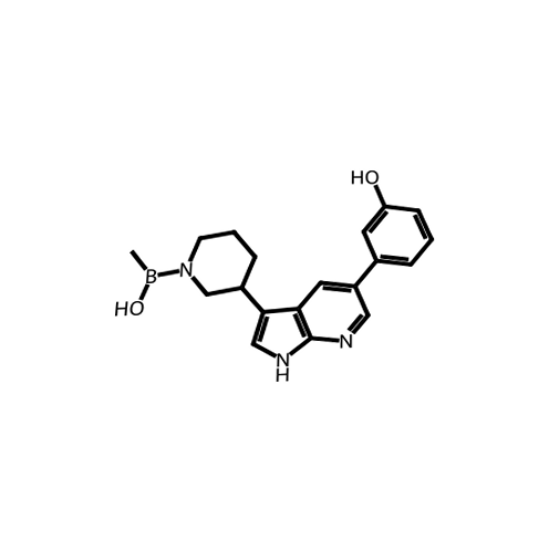 CB(O)N1CCCC(c2c[nH]c3ncc(-c4cccc(O)c4)cc23)C1